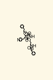 O=C(NCCCC[C@@H]1NC(=O)C2(CCN(CCc3ccccc3)CC2)N(CCc2ccncc2)C1=O)OCc1ccccc1